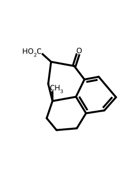 CC12CCCc3cccc(c31)C(=O)C(C(=O)O)C2